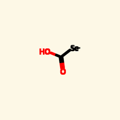 O=C(O)[Se]